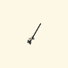 CCCCCCCCCCCCCCCCCCOC(=O)NCCC[Si](OCC)(OCC)OCC